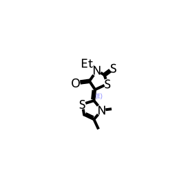 CCN1C(=O)/C(=C2\SC=C(C)N2C)SC1=S